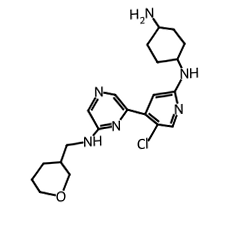 NC1CCC(Nc2cc(-c3cncc(NCC4CCCOC4)n3)c(Cl)cn2)CC1